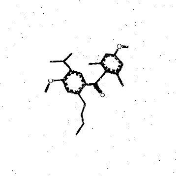 CCCCc1cc(OC)c(C(C)C)cc1C(=O)c1c(C)cc(OC)cc1C